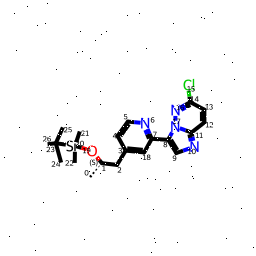 C[C@@H](Cc1ccnc(-c2cnc3ccc(Cl)nn23)c1)O[Si](C)(C)C(C)(C)C